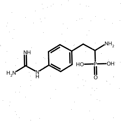 N=C(N)Nc1ccc(CC(N)P(=O)(O)O)cc1